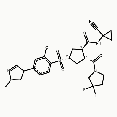 CN1CC(c2ccc(S(=O)(=O)[C@@H]3C[C@@H](C(=O)NC4(C#N)CC4)[C@H](C(=O)N4CCC(F)(F)C4)C3)c(Cl)c2)C=N1